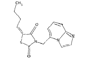 CCCC=C1SC(=O)N(Cc2cccc3nccn23)C1=O